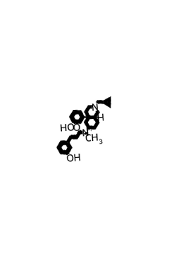 CN(C(=O)C=Cc1cccc(O)c1)[C@@H]1CC[C@@H]2CN(CC3CC3)CC[C@@]2(c2cccc(O)c2)C1